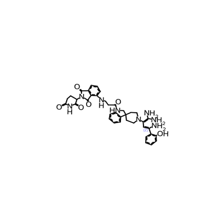 NC(N)=C(/C=C(\N)c1ccccc1O)N1CCC(CNC(=O)CCNc2cccc3c2C(=O)N(C2CCC(=O)NC2=O)C3=O)(c2ccccc2)CC1